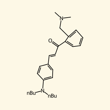 CCCCN(CCCC)c1ccc(C=CC(=O)c2ccccc2CN(C)C)cc1